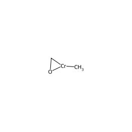 [CH3][Cr]1[CH2][O]1